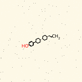 C=CC[C@H]1CC[C@H](C2CCC(c3ccc(O)cc3)CC2)CC1